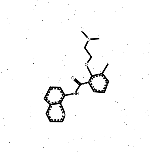 Cc1cccc(C(=O)Nc2cccc3cccnc23)c1OCCN(C)C